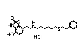 Cl.O=c1[nH]c2c(O)ccc(CCNCCCCCCSCCc3ccccc3)c2s1